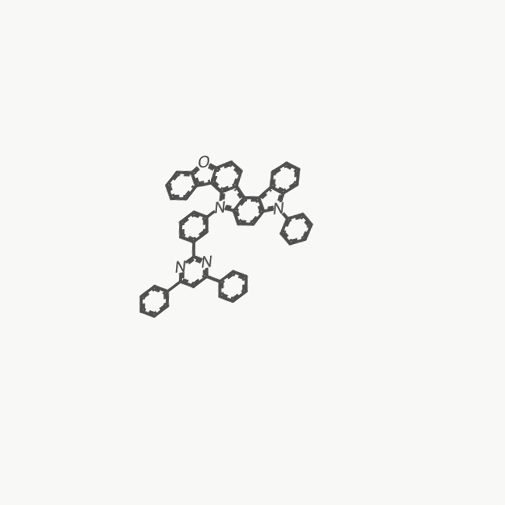 c1ccc(-c2cc(-c3ccccc3)nc(-c3cccc(-n4c5ccc6c(c7ccccc7n6-c6ccccc6)c5c5ccc6oc7ccccc7c6c54)c3)n2)cc1